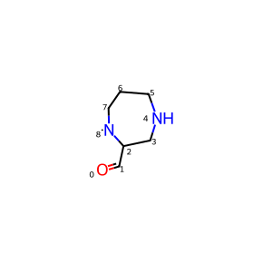 O=CC1CNCCC[N]1